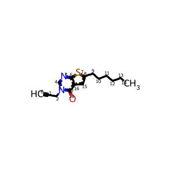 C#CCn1cnc2sc(CCCCCC)cc2c1=O